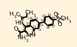 CC[C@@H](C)Nc1c(C(N)=O)nnc2cc(-c3ccc(S(C)(=O)=O)cc3)ccc12